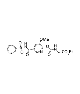 CCOC(=O)CNC(=O)Oc1ncc(C(=O)NS(=O)(=O)c2ccccc2)cc1OC